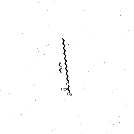 CCCCCCCCCCCCCCCCCCOCC(O)CO.CCOCC